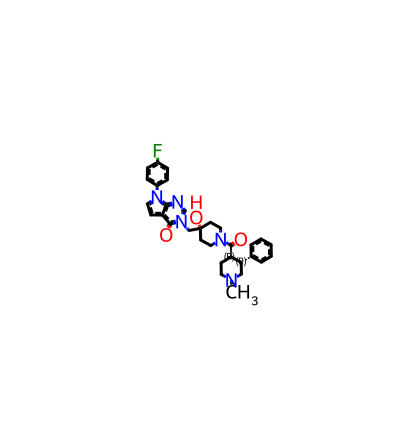 CN1CC[C@@H](C(=O)N2CCC(O)(Cn3cnc4c(ccn4-c4ccc(F)cc4)c3=O)CC2)[C@H](c2ccccc2)C1